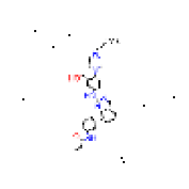 C=CC(=O)Nc1cccc(-c2cccc3cnc(Nc4ccc(N5CCN(CCOC)CC5)c(CO)c4)nc23)c1